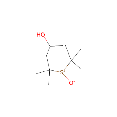 CC1(C)CC(O)CC(C)(C)[S+]1[O-]